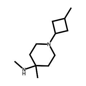 CNC1(C)CCN(C2CC(C)C2)CC1